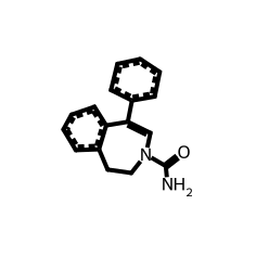 NC(=O)N1C=C(c2ccccc2)c2ccccc2CC1